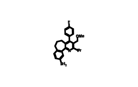 Bc1ccc2c(c1)-c1nc(C(C)C)c(COC)c(-c3ccc(F)cc3)c1CCC2